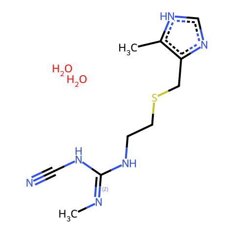 C/N=C(\NC#N)NCCSCc1nc[nH]c1C.O.O